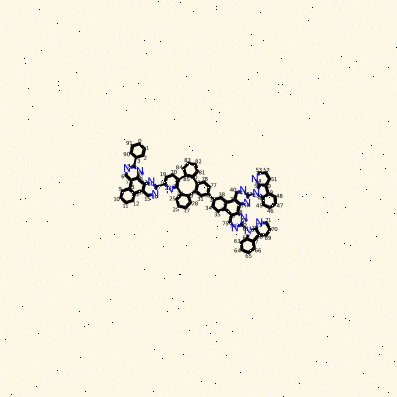 c1ccc(-c2ncc3c4ccccc4c4cnc(-c5ccc6c(n5)-c5ccccc5-c5cc(-c7ccc8c(c7)c7cnc(-n9c%10ccccc%10c%10cccnc%109)nc7c7nc(-n9c%10ccccc%10c%10cccnc%109)ncc87)ccc5-c5ccccc5-6)nc4c3n2)cc1